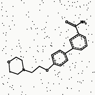 NC(=O)c1cccc(-c2ccc(OCCN3CCOCC3)cc2)c1